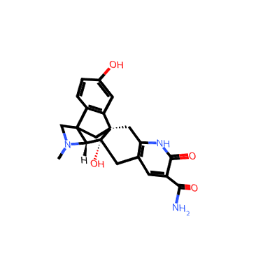 CN1CC23C[C@@]4(Cc5[nH]c(=O)c(C(N)=O)cc5C[C@@]4(O)[C@H]12)c1cc(O)ccc13